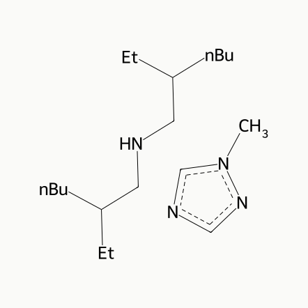 CCCCC(CC)CNCC(CC)CCCC.Cn1cncn1